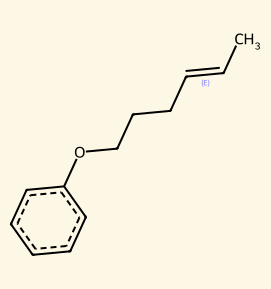 C/C=C/CCCOc1ccccc1